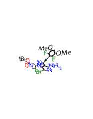 COc1cc(OC)c(F)c(C#Cc2nn([C@H]3CCN(C(=O)OC(C)(C)C)C3)c3c(Br)cnc(N)c23)c1F